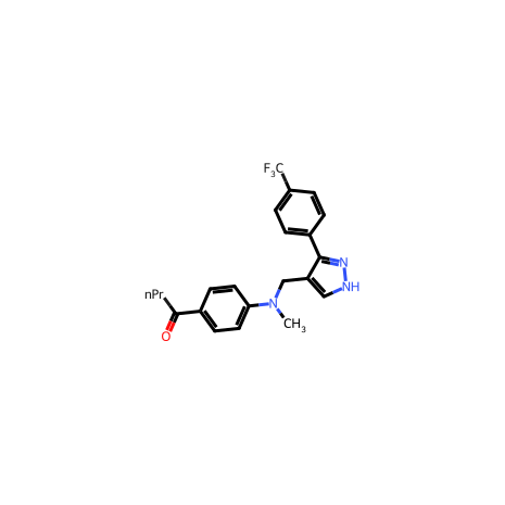 CCCC(=O)c1ccc(N(C)Cc2c[nH]nc2-c2ccc(C(F)(F)F)cc2)cc1